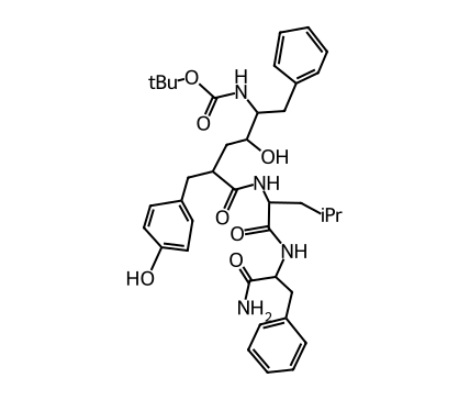 CC(C)CC(NC(=O)C(Cc1ccc(O)cc1)CC(O)C(Cc1ccccc1)NC(=O)OC(C)(C)C)C(=O)NC(Cc1ccccc1)C(N)=O